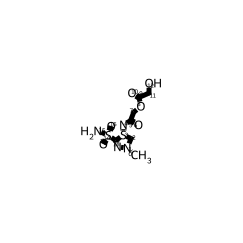 CN1CS(=NC(=O)COC(=O)CO)C(S(N)(=O)=O)=N1